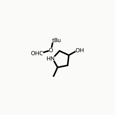 CC(C)(C)OC=O.CC1CC(O)CN1